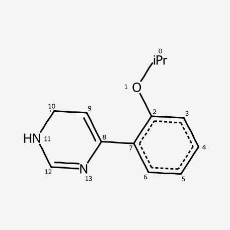 CC(C)Oc1ccccc1C1=C[CH]NC=N1